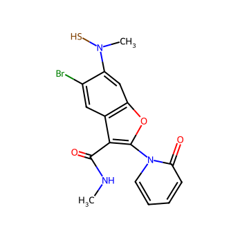 CNC(=O)c1c(-n2ccccc2=O)oc2cc(N(C)S)c(Br)cc12